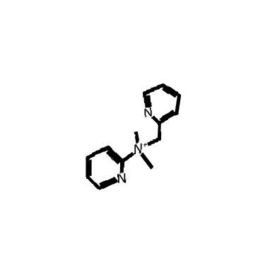 C[N+](C)(Cc1ccccn1)c1ccccn1